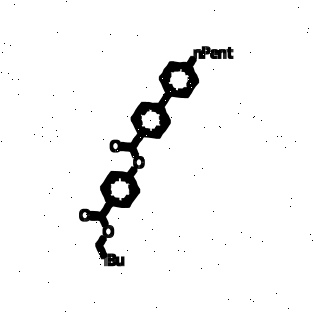 CCCCCc1ccc(-c2ccc(C(=O)Oc3ccc(C(=O)OCC(C)CC)cc3)cc2)cc1